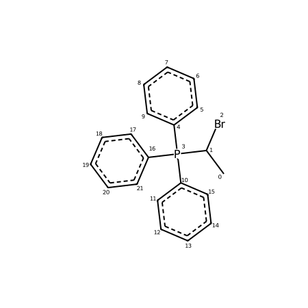 CC(Br)[P](c1ccccc1)(c1ccccc1)c1ccccc1